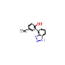 COc1ccc(O)c(-c2cccc3[nH]nnc23)c1